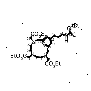 CCOC(=O)CN1CCN(CC(=O)OCC)Cc2cc(CCCNC(=O)OC(C)(C)C)cc(n2)CN(CC(=O)OCC)CC1